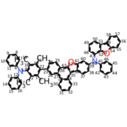 Cc1c(C)c(N(c2ccccc2)c2ccccc2)c(C)c(C)c1-c1ccc2c(c1)c1ccccc1c1c3ccc(N(c4ccccc4)c4cccc5c4oc4ccccc45)cc3oc21